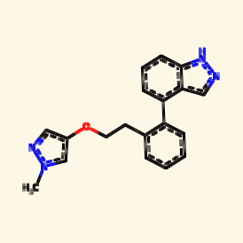 Cn1cc(OCCc2ccccc2-c2cccc3[nH]ncc23)cn1